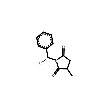 CC(=O)[C@H](c1ccccc1)N1C(=O)CC(C)C1=O